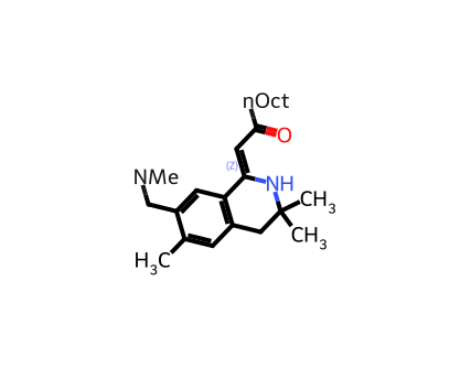 CCCCCCCCC(=O)/C=C1\NC(C)(C)Cc2cc(C)c(CNC)cc21